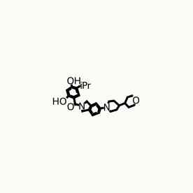 CC(C)c1cc(C(=O)N2Cc3ccc(N4CCC(C5CCOCC5)CC4)cc3C2)c(O)cc1O